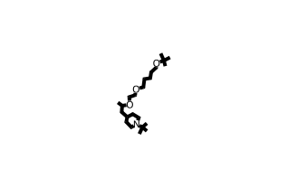 CC(CC1CCN(C(C)(C)C)CC1)OCCOCCCCCOC(C)(C)C